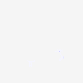 CNc1cc(-c2cc3ccccc3s2)c2[nH]ncc2c1